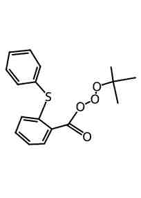 CC(C)(C)OOOC(=O)c1ccccc1Sc1ccccc1